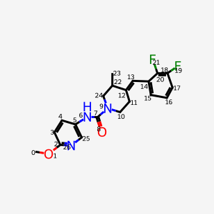 COc1ccc(NC(=O)N2CCC(=Cc3cccc(F)c3F)C(C)C2)cn1